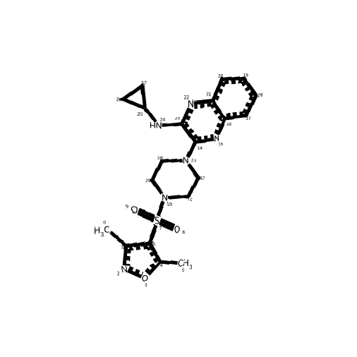 Cc1noc(C)c1S(=O)(=O)N1CCN(c2nc3ccccc3nc2NC2CC2)CC1